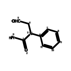 CCCC(=O)N(C[C]=O)c1ccccc1